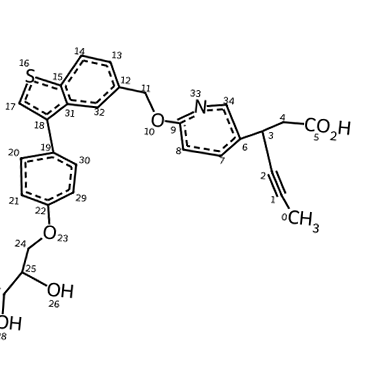 CC#CC(CC(=O)O)c1ccc(OCc2ccc3scc(-c4ccc(OCC(O)CO)cc4)c3c2)nc1